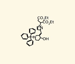 CCOC(=O)CC(C(=O)OCC)n1ccc(/C=C2\CN(C(c3ccccc3)(c3ccccc3)c3ccccc3)CCC2O)n1